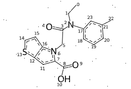 CCN(C(=O)Cn1c(C(=O)O)cc2sccc21)c1cccc(C)c1